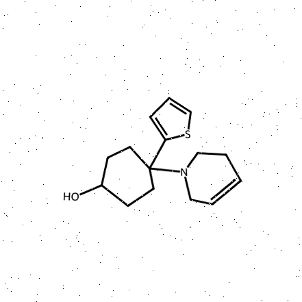 OC1CCC(c2cccs2)(N2CC=CCC2)CC1